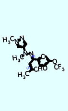 C/C(C=O)=C/C(=N\N(C)c1cnn(C)c1)c1ccc(OC(F)(F)F)cc1